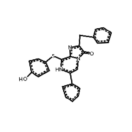 O=c1c(Cc2ccccc2)nc2c(Sc3ccc(O)cc3)[nH]c(-c3ccccc3)cn1-2